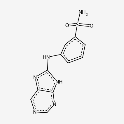 NS(=O)(=O)c1cccc(Nc2nc3cncnc3[nH]2)c1